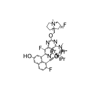 CC(C)[Si](C#Cc1c(F)ccc2cc(O)cc(-c3nc4c5c(nc(OC[C@@]67CCC[N+]6(C)C[C@H](F)C7)nc5c3F)N(C)[C@@H](C)CO4)c12)(C(C)C)C(C)C